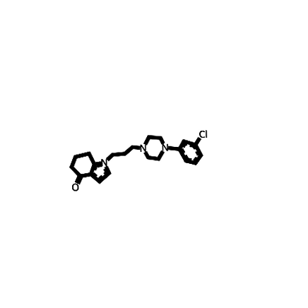 O=C1CCCc2c1ccn2CCCN1CCN(c2cccc(Cl)c2)CC1